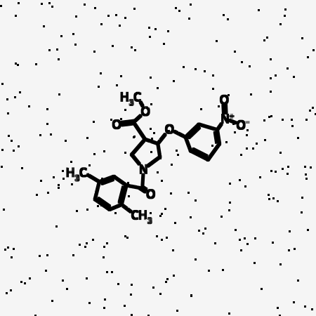 COC(=O)C1CN(C(=O)c2cc(C)ccc2C)CC1Oc1cccc([N+](=O)[O-])c1